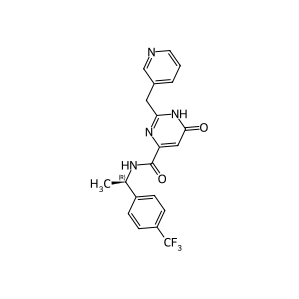 C[C@@H](NC(=O)c1cc(=O)[nH]c(Cc2cccnc2)n1)c1ccc(C(F)(F)F)cc1